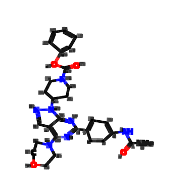 CNC(=O)Nc1ccc(-c2nc(N3CCOCC3)c3cnn(C4CCN(C(=O)Oc5ccccc5)CC4)c3n2)cc1